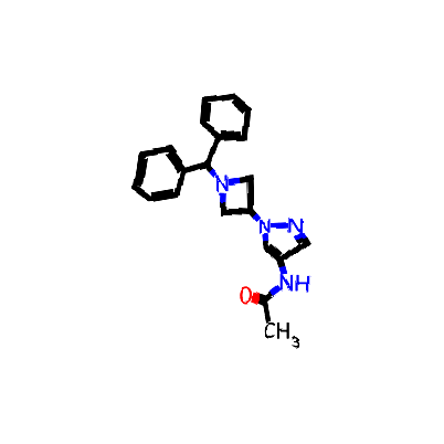 CC(=O)Nc1cnn(C2CN(C(c3ccccc3)c3ccccc3)C2)c1